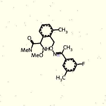 CNC(=O)C(NOC)c1cccc(C)c1CO/N=C(\C)c1cc(C)cc(F)c1